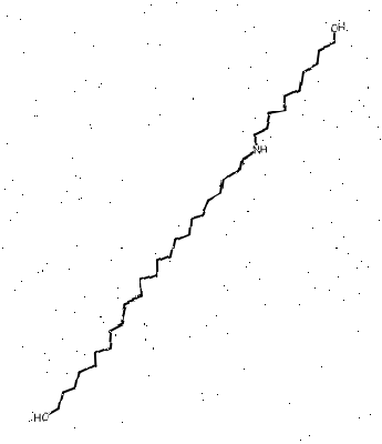 OCCCCCCCCCCCCCCCCCCCCCCCCNCCCCCCCCCCO